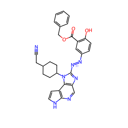 N#CCC1CCC(n2c(/N=N/c3ccc(O)c(C(=O)OCc4ccccc4)c3)nc3cnc4[nH]ccc4c32)CC1